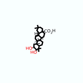 CC1(C)CC[C@]2(C(=O)O)CC[C@]3(C)C(=CC[C@@]4(C)[C@@]3(C)CCC3C(C)(C)[C@@H](O)[C@H](O)C[C@@]34C)[C@@H]2C1